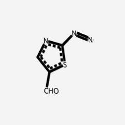 [N]=Nc1ncc(C=O)s1